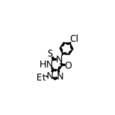 CCn1cnc2c(=O)n(-c3ccc(Cl)cc3)c(=S)[nH]c21